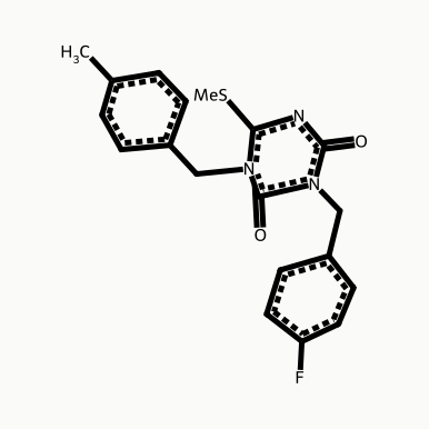 CSc1nc(=O)n(Cc2ccc(F)cc2)c(=O)n1Cc1ccc(C)cc1